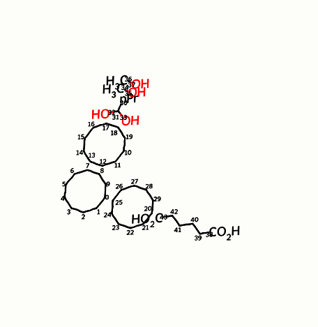 C1CCCCCCCCC1.C1CCCCCCCCC1.C1CCCCCCCCC1.CCCC(O)O.CO.CO.O=C(O)CCCCC(=O)O